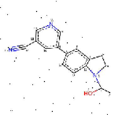 CC(O)N1CCc2cc(-c3cncc(C#N)c3)ccc21